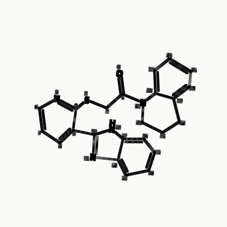 O=C(CSc1ncccc1-c1nc2ccccc2[nH]1)N1CCCc2ccccc21